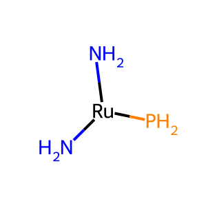 [NH2][Ru]([NH2])[PH2]